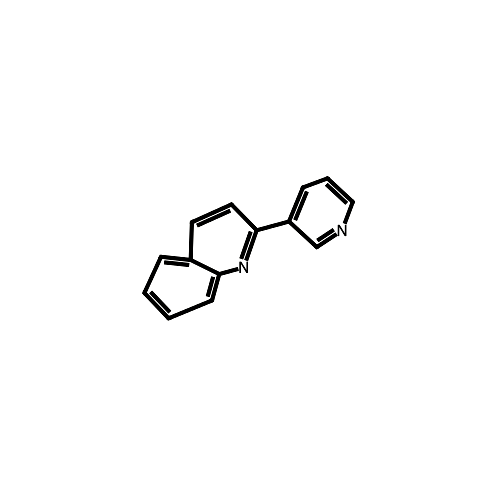 c1cncc(-c2ccc3ccccc3n2)c1